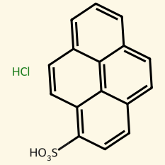 Cl.O=S(=O)(O)c1ccc2ccc3cccc4ccc1c2c34